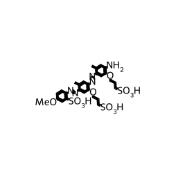 COc1ccc(N=Nc2cc(OCCCS(=O)(=O)O)c(N=Nc3cc(OCCCS(=O)(=O)O)c(N)cc3C)cc2C)c(S(=O)(=O)O)c1